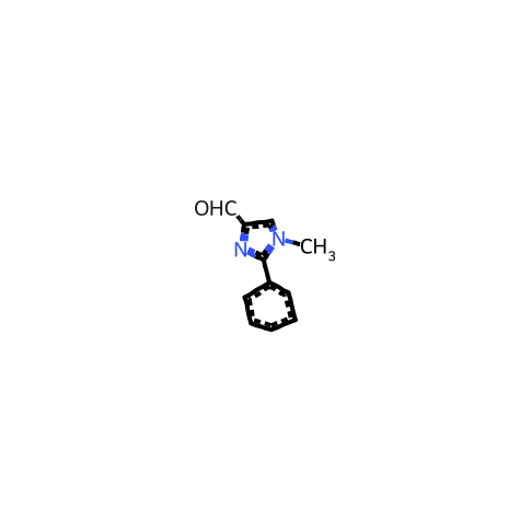 Cn1cc(C=O)nc1-c1ccccc1